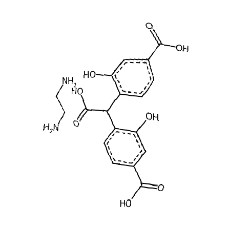 NCCN.O=C(O)c1ccc(C(C(=O)O)c2ccc(C(=O)O)cc2O)c(O)c1